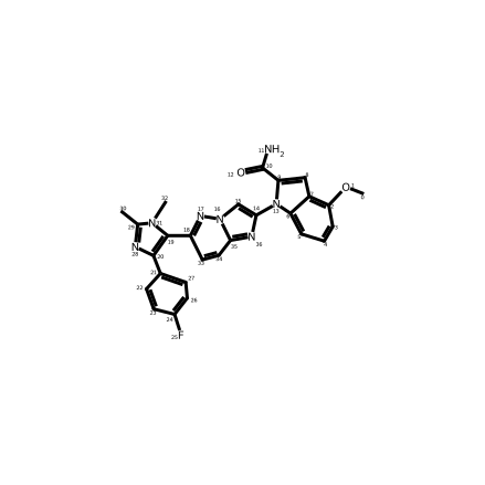 COc1cccc2c1cc(C(N)=O)n2-c1cn2nc(-c3c(-c4ccc(F)cc4)nc(C)n3C)ccc2n1